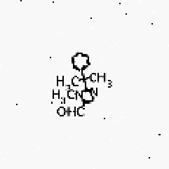 Cn1c(C=O)cnc1C(C)(C)c1ccccc1